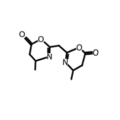 CC1CC(=O)OC(CC2=NC(C)CC(=O)O2)=N1